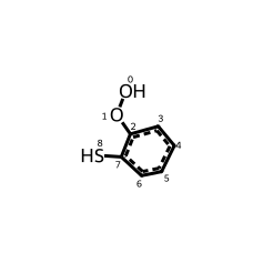 OOc1ccccc1S